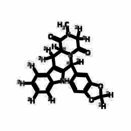 [2H]c1c([2H])c([2H])c2c3c([nH]c2c1[2H])[C@@]([2H])(c1ccc2c(c1)OC([2H])([2H])O2)N1C(=O)C([2H])([2H])N(C)C(=O)[C@H]1C3([2H])[2H]